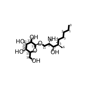 CCCCC[C@@H](C)[C@@H](O)[C@@H](N)CO[C@H]1OC(CO)[C@H](O)[C@H](O)C1O